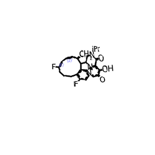 C=C1/C=C\C=C(\F)CCCc2c(F)cccc2C1C1CN(C(C)C)C(=O)c2c(O)c(=O)cnn21